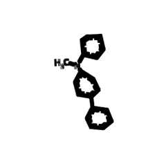 CN(c1ccccc1)c1ccc(-c2ccccc2)cc1